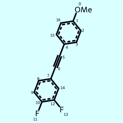 COc1ccc(C#Cc2ccc(F)c(F)c2)cc1